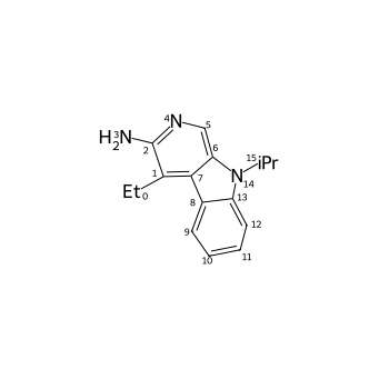 CCc1c(N)ncc2c1c1ccccc1n2C(C)C